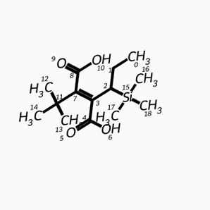 CCC(/C(C(=O)O)=C(\C(=O)O)C(C)(C)C)[Si](C)(C)C